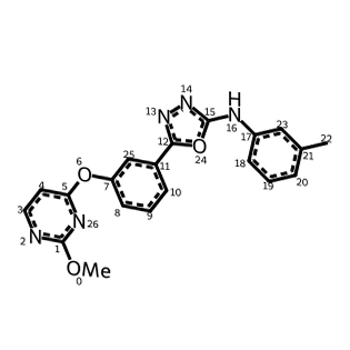 COc1nccc(Oc2cccc(-c3nnc(Nc4cccc(C)c4)o3)c2)n1